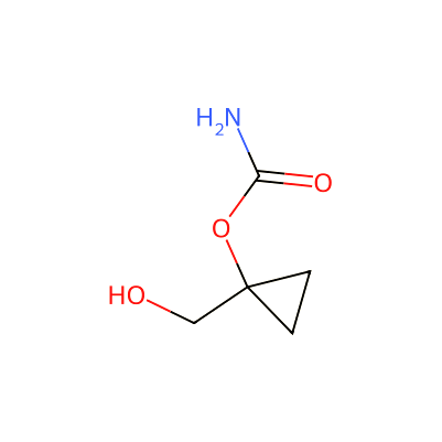 NC(=O)OC1(CO)CC1